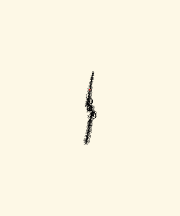 CCCCCCCCCCCCCCCCCC(=O)CC(C)CC(C)OC(C)CC(C)CC(=O)CCCCCCCCCCCCCCCCC